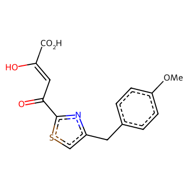 COc1ccc(Cc2csc(C(=O)C=C(O)C(=O)O)n2)cc1